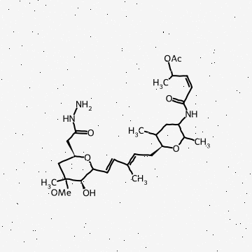 COC1(C)C[C@@H](CC(=O)NN)OC(/C=C/C(C)=C/C[C@@H]2OC(C)C(NC(=O)/C=C\C(C)OC(C)=O)CC2C)[C@H]1O